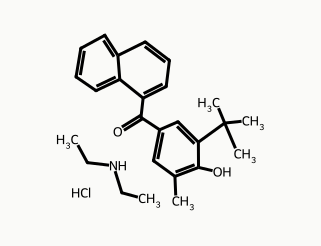 CCNCC.Cc1cc(C(=O)c2cccc3ccccc23)cc(C(C)(C)C)c1O.Cl